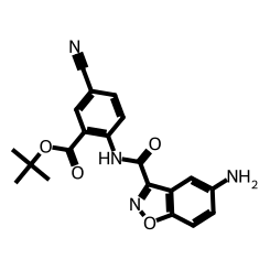 CC(C)(C)OC(=O)c1cc(C#N)ccc1NC(=O)c1noc2ccc(N)cc12